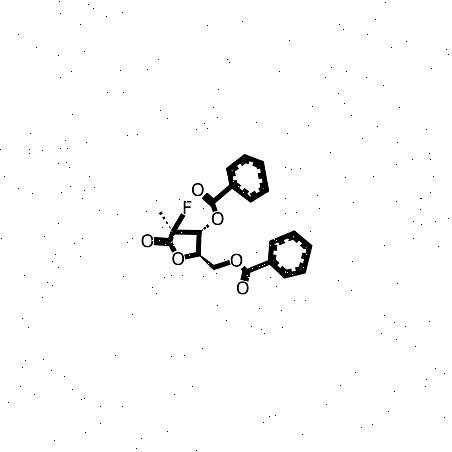 C[C@@]1(F)C(=O)O[C@H](COC(=O)c2ccccc2)[C@H]1OC(=O)c1ccccc1